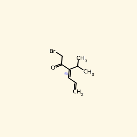 C=C/C=C(/C(=O)CBr)C(C)C